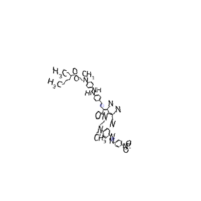 CCCCC(CC)C(=O)OCCN(CC)c1ccc(NNc2ccc(/C=C/C3=C(C#N)C(=C(C#N)C#N)N(CCN(CC)c4ccc(/N=N/c5ccc([N+](=O)[O-])cc5)cc4)C3=O)cc2)cc1